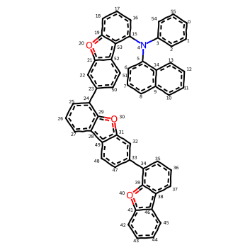 c1ccc(N(c2cccc3ccccc23)c2cccc3oc4cc(-c5cccc6c5oc5cc(-c7cccc8c7oc7ccccc78)ccc56)ccc4c23)cc1